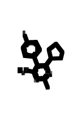 Cc1nc(N)c(-c2ccc(I)cc2)c(C2CCCC2)n1